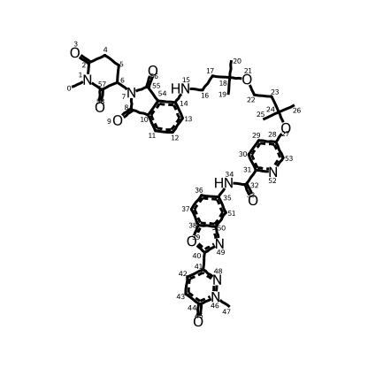 CN1C(=O)CCC(N2C(=O)c3cccc(NCCC(C)(C)OCCC(C)(C)Oc4ccc(C(=O)Nc5ccc6oc(-c7ccc(=O)n(C)n7)nc6c5)nc4)c3C2=O)C1=O